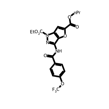 CCCOC(=O)c1cc2c(o1)c(NC(=O)c1ccc(OC(F)(F)F)cc1)nn2C(=O)OCC